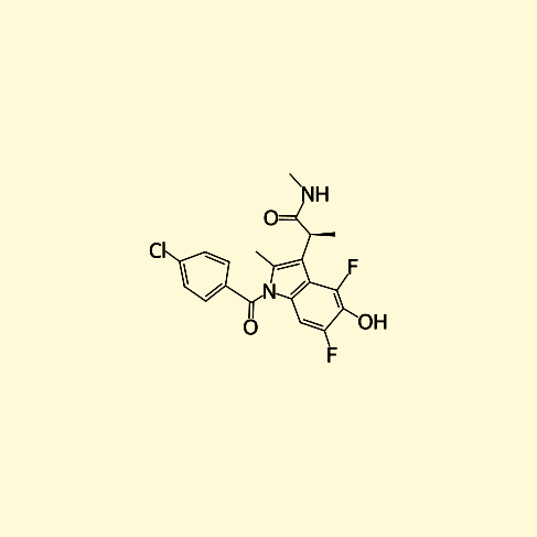 CNC(=O)[C@@H](C)c1c(C)n(C(=O)c2ccc(Cl)cc2)c2cc(F)c(O)c(F)c12